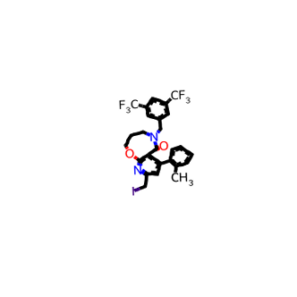 Cc1ccccc1-c1cc(CI)nc2c1C(=O)N(Cc1cc(C(F)(F)F)cc(C(F)(F)F)c1)CCCO2